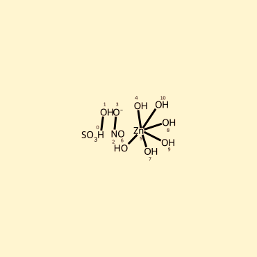 O=S(=O)(O)O.O=[NH+][O-].[OH][Zn]([OH])([OH])([OH])([OH])[OH]